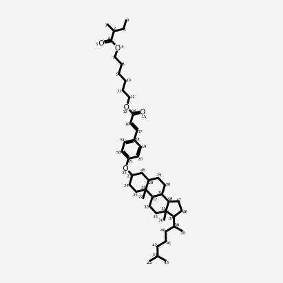 CCC(C)C(=O)OCCCCCCOC(=O)/C=C/c1ccc(OC2CCC3(C)C(CCC4C3CCC3(C)C(C(C)CCCC(C)C)CCC43)C2)cc1